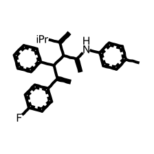 C=C(Nc1ccc(C)cc1)C(C(=C)C(C)C)C(C(=C)c1ccc(F)cc1)c1ccccc1